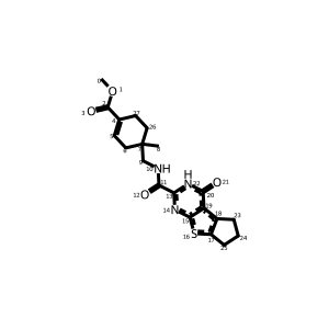 COC(=O)C1=CCC(C)(CNC(=O)c2nc3sc4c(c3c(=O)[nH]2)CCC4)CC1